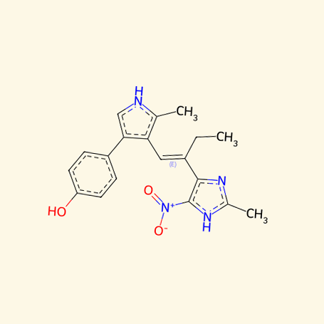 CC/C(=C\c1c(-c2ccc(O)cc2)c[nH]c1C)c1nc(C)[nH]c1[N+](=O)[O-]